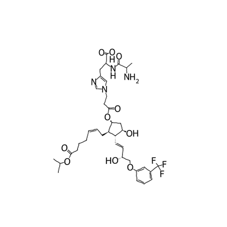 CC(C)OC(=O)CCC/C=C\C[C@@H]1[C@@H](/C=C/[C@@H](O)COc2cccc(C(F)(F)F)c2)[C@H](O)C[C@@H]1OC(=O)CCn1cnc(CC(NC(=O)C(C)N)C(=O)O)c1